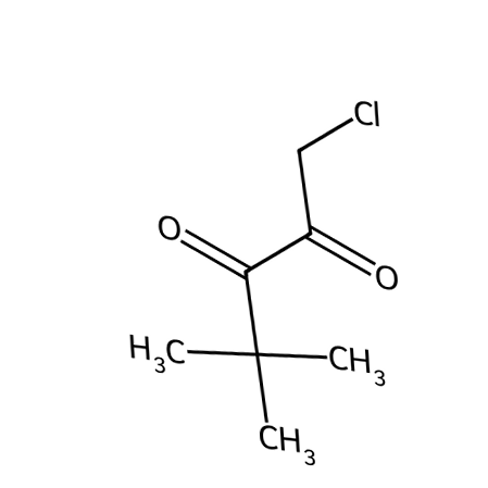 CC(C)(C)C(=O)C(=O)CCl